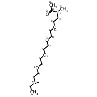 CCNCCOCCOCCOCCOCCN(C)C(C)=O